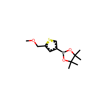 COCc1cc(B2OC(C)(C)C(C)(C)O2)cs1